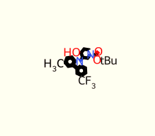 Cc1ccc2c(c1)c1cc(C(F)(F)F)ccc1n2C1CN(C(=O)OC(C)(C)C)CC[C@H]1O